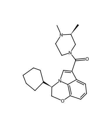 C[C@H]1CN(C(=O)c2cn3c4c(cccc24)OC[C@H]3C2CCCCC2)CCN1C